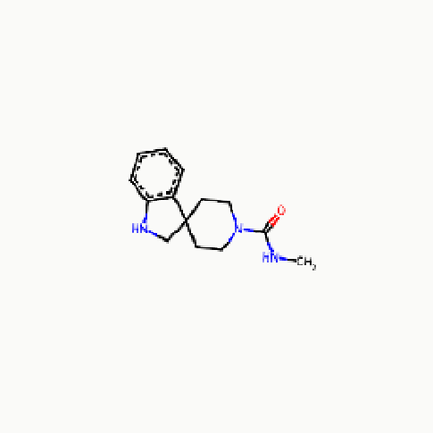 CNC(=O)N1CCC2(CC1)CNc1ccccc12